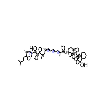 CO[C@@H](C[C@@H]1CC[C@@H](C)[C@](O)(C(=O)C(=O)N2CCCCC2C(=O)O)O1)/C(C)=C/C=C/C=C/[C@@H](C)C[C@@H](C)C(=O)[C@H](OC)[C@H](O)/C(C)=C/[C@@H](C)C(=O)CCC(C)C